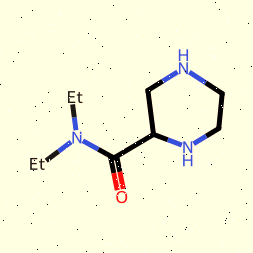 CCN(CC)C(=O)C1CNCCN1